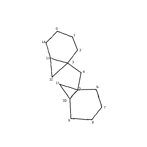 C1CCC2(CC34CCCCC3C4)CC2C1